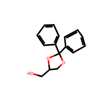 OCC1COC(c2ccccc2)(c2ccccc2)O1